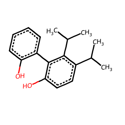 CC(C)c1ccc(O)c(-c2ccccc2O)c1C(C)C